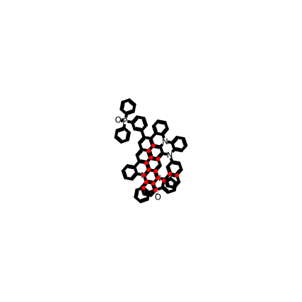 O=P(c1ccccc1)(c1ccccc1)c1ccc(-c2cc3cc(-c4ccccc4N4c5ccccc5N(c5ccccc5)c5ccccc54)c(-c4cccc(P(=O)(c5ccccc5)c5ccccc5)c4)cc3cc2-c2ccccc2N2c3ccccc3N(c3ccccc3)c3ccccc32)cc1